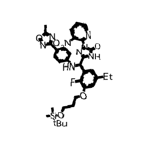 CCc1cc(OCCCO[Si](C)(C)C(C)(C)C)c(F)c(C(Nc2ccc(-c3noc(C)n3)cc2)c2nn(-c3ncccc3[N+](=O)[O-])c(=O)[nH]2)c1